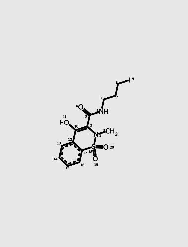 CN1C(C(=O)NCCCI)=C(O)c2ccccc2S1(=O)=O